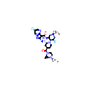 CN1CC(F)C(N2CCC(C(=O)N3CCN(C)C4CC43)CC2)C(NC(=O)c2c(N)nn3cc(F)cnc23)C1